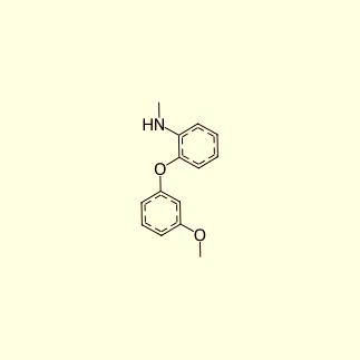 CNc1ccccc1Oc1cccc(OC)c1